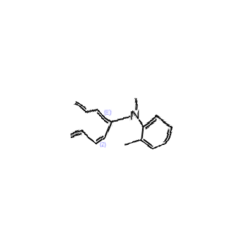 C=C/C=C\C(=C/C=C)N(C)c1ccccc1C